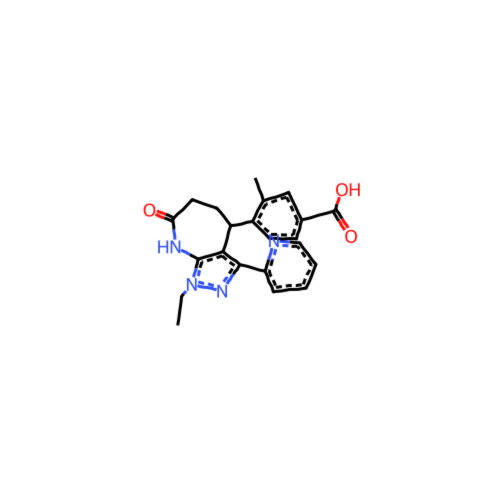 CCn1nc(-c2ccccn2)c2c1NC(=O)CCC2c1ccc(C(=O)O)cc1C